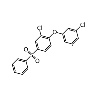 O=S(=O)(c1ccccc1)c1ccc(Oc2c[c]cc(Cl)c2)c(Cl)c1